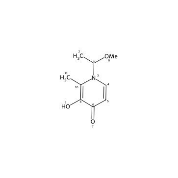 COC(C)n1ccc(=O)c(O)c1C